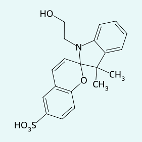 CC1(C)c2ccccc2N(CCO)C12C=Cc1cc(S(=O)(=O)O)ccc1O2